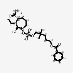 CCN1C(=O)N(OS(=O)(=O)OCC(C)(C)CCCOC(=O)c2ccccc2)CCC[C@H]1C(N)=O